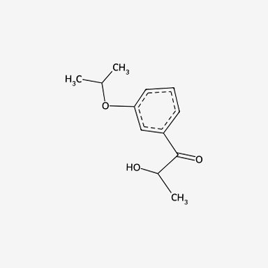 CC(C)Oc1cccc(C(=O)C(C)O)c1